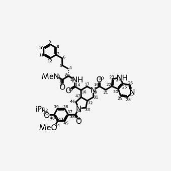 CNC(=O)[C@H](CCCc1ccccc1)NC(=O)C1CN(C(=O)Cc2c[nH]c3cnccc23)CC2CN(C(=O)c3ccc(OC(C)C)c(OC)c3)CC21